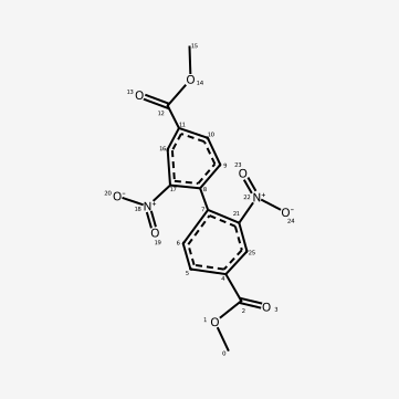 COC(=O)c1ccc(-c2ccc(C(=O)OC)cc2[N+](=O)[O-])c([N+](=O)[O-])c1